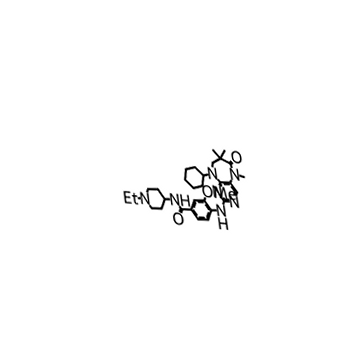 CCN1CCC(NC(=O)c2ccc(Nc3ncc4c(n3)N(C3CCCCC3)CC(C)(C)C(=O)N4C)c(OC)c2)CC1